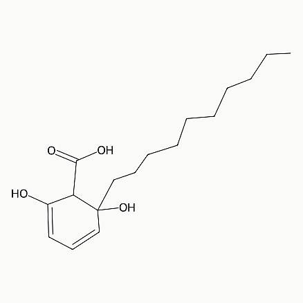 CCCCCCCCCCC1(O)C=CC=C(O)C1C(=O)O